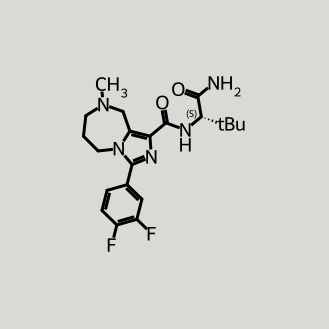 CN1CCCn2c(-c3ccc(F)c(F)c3)nc(C(=O)N[C@H](C(N)=O)C(C)(C)C)c2C1